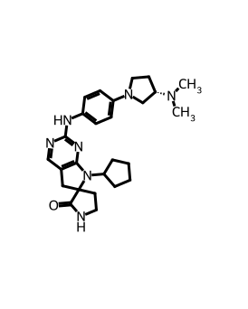 CN(C)[C@H]1CCN(c2ccc(Nc3ncc4c(n3)N(C3CCCC3)C3(CCNC3=O)C4)cc2)C1